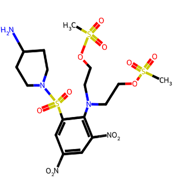 CS(=O)(=O)OCCN(CCOS(C)(=O)=O)c1c([N+](=O)[O-])cc([N+](=O)[O-])cc1S(=O)(=O)N1CCC(N)CC1